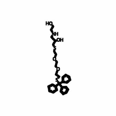 OCCNCC(O)CSCCOCCOCCSC(c1ccccc1)(c1ccccc1)c1ccccc1